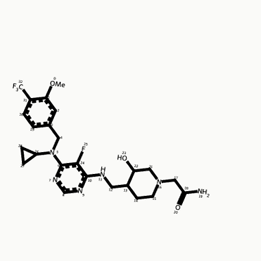 COc1cc(CN(c2ncnc(NCC3CCN(CC(N)=O)CC3O)c2F)C2CC2)ccc1C(F)(F)F